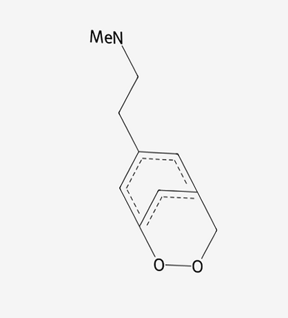 CNCCc1cc2cc(c1)OOC2